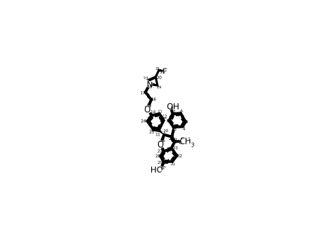 CC1=C(c2cccc(O)c2)[C@H](c2ccc(OCCN3CC(CF)C3)cc2)Oc2cc(O)ccc21